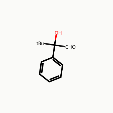 CC(C)(C)C(O)([C]=O)c1ccccc1